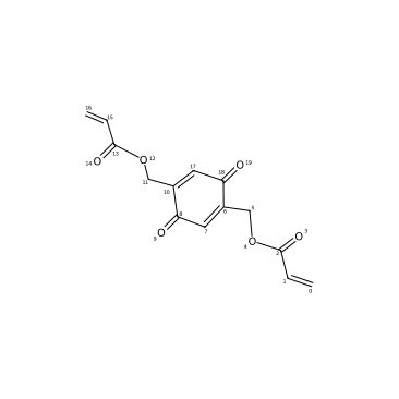 C=CC(=O)OCC1=CC(=O)C(COC(=O)C=C)=CC1=O